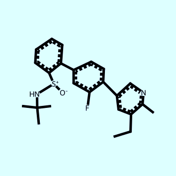 CCc1cc(-c2ccc(-c3ccccc3[S+]([O-])NC(C)(C)C)cc2F)cnc1C